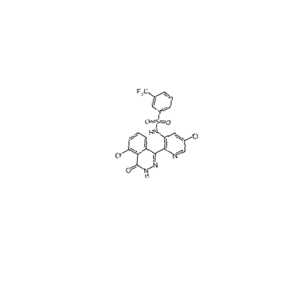 O=c1[nH]nc(-c2ncc(Cl)cc2NS(=O)(=O)c2cccc(C(F)(F)F)c2)c2cccc(Cl)c12